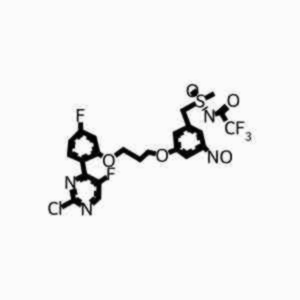 CS(=O)(Cc1cc(N=O)cc(OCCCOc2cc(F)ccc2-c2nc(Cl)ncc2F)c1)=NC(=O)C(F)(F)F